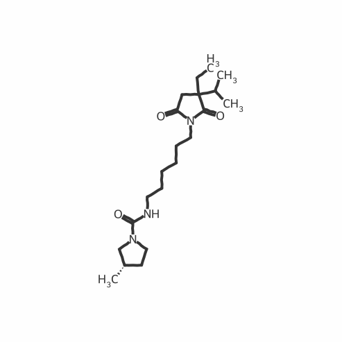 CCC1(C(C)C)CC(=O)N(CCCCCCNC(=O)N2CC[C@H](C)C2)C1=O